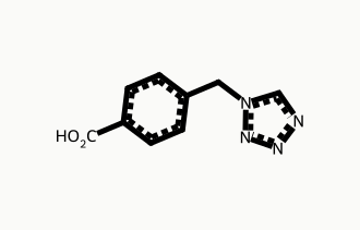 O=C(O)c1ccc(Cn2cnnn2)cc1